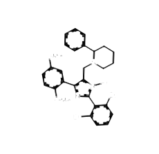 CCc1cccc(CC)c1-c1nc(-c2cc(OC)ccc2OC)c(CN2CCCCC2c2ccccc2)n1CC